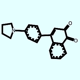 O=C1C=C(c2ccc(N3CCCC3)cc2)c2ccccc2C1=O